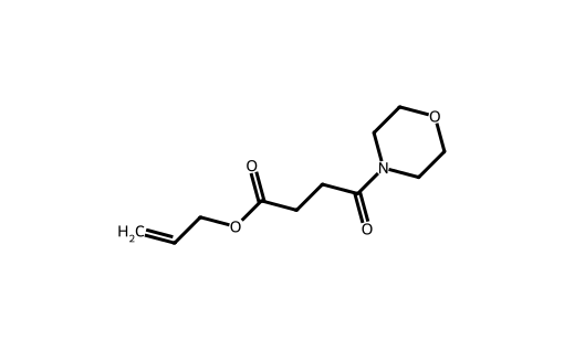 C=CCOC(=O)CCC(=O)N1CCOCC1